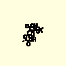 C[C@H](OC(=O)C[C@H](NC(=O)OC(C)(C)C)C(=O)O)C(=O)O